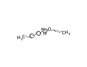 CCCCC=CCOc1cnc(-c2ccc(C34CCC(CCC)(CC3)CC4)cc2)nc1